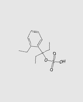 CCc1ccccc1C(CC)(CC)OS(=O)(=O)O